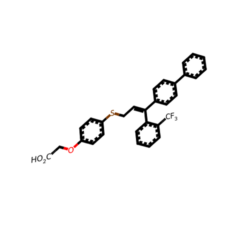 O=C(O)COc1ccc(SCC=C(c2ccc(-c3ccccc3)cc2)c2ccccc2C(F)(F)F)cc1